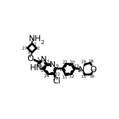 N[C@H]1C[C@@H](Oc2nc3nc(-c4ccc(N5CCOCC5)cc4)c(Cl)cc3[nH]2)C1